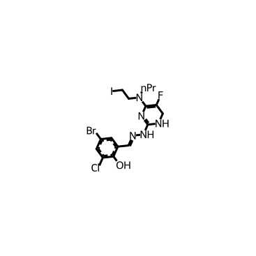 CCCN(CCI)C1=C(F)CNC(N/N=C/c2cc(Br)cc(Cl)c2O)=N1